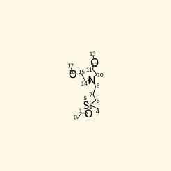 CCO[Si](C)(C)CCCN(CCOC)CCOC